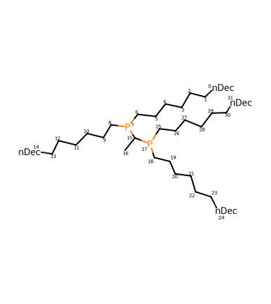 CCCCCCCCCCCCCCCCP(CCCCCCCCCCCCCCCC)C(C)P(CCCCCCCCCCCCCCCC)CCCCCCCCCCCCCCCC